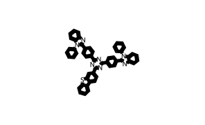 c1ccc(-n2c(-c3ccc(-c4nc(-c5ccc(-c6nc7ccccc7n6-c6ccccc6)cc5)nc(-c5ccc6c(c5)sc5ccccc56)n4)cc3)nc3ccccc32)cc1